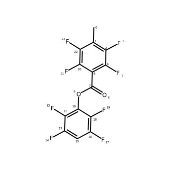 Cc1c(F)c(F)c(C(=O)Oc2c(F)c(F)cc(F)c2F)c(F)c1F